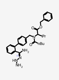 CCCCC(=O)N(Cc1ccc(-c2ccccc2/C(N)=N\NN)cc1)C(C(=O)OCc1ccccc1)C(C)C